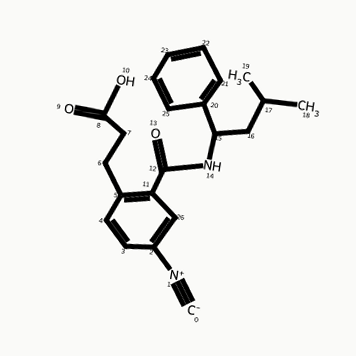 [C-]#[N+]c1ccc(CCC(=O)O)c(C(=O)NC(CC(C)C)c2ccccc2)c1